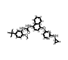 COc1ccc(C(C)(C)C)cc1NC(=O)Nc1ccc(Oc2ccnc(NC3CC3)n2)c2ccccc12